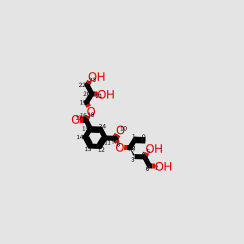 C=C[C@H](CC(O)CO)OC(=O)c1cccc(C(=O)OCC(O)CO)c1